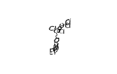 CCON=Cc1ccc(CCCCOc2c(Cl)cc(OCC=C(Cl)Cl)cc2Cl)cc1